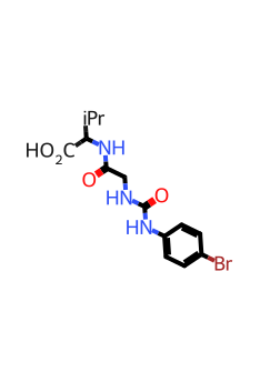 CC(C)C(NC(=O)CNC(=O)Nc1ccc(Br)cc1)C(=O)O